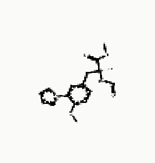 COC(=O)[C@](C)(Cc1ccc(OC)c(-n2cccc2)c1)NC=O